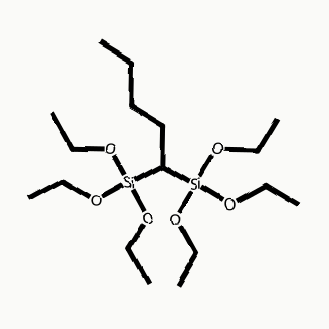 CCCCC([Si](OCC)(OCC)OCC)[Si](OCC)(OCC)OCC